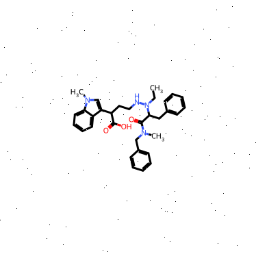 CCN(NCCC(C(=O)O)c1cn(C)c2ccccc12)C(Cc1ccccc1)C(=O)N(C)Cc1ccccc1